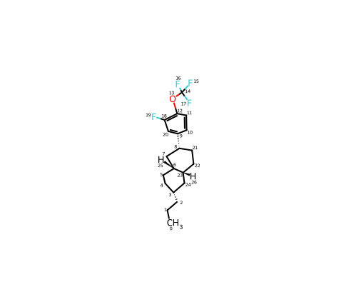 CCC[C@@H]1CC[C@@H]2C[C@H](c3ccc(OC(F)(F)F)c(F)c3)CC[C@@H]2C1